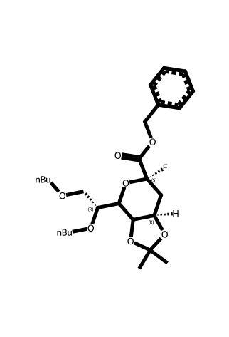 CCCCOC[C@@H](OCCCC)C1O[C@@](F)(C(=O)OCc2ccccc2)C[C@H]2OC(C)(C)OC12